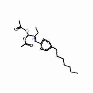 CCCCCCCc1ccc(/C=C(\CC)C(OC(C)=O)OC(C)=O)cc1